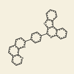 c1cnc2c(c1)ccc1ccc(-c3ccc(-c4nc5ccccc5c5c4sc4ccccc45)cc3)nc12